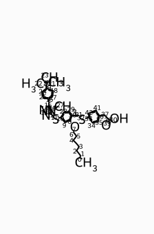 CCCCCCCOc1cc(Sc2nnc(-c3ccc(C(C)(C)C)cc3)n2C)ccc1CSc1ccc(CC(=O)O)cc1